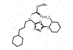 CC(C)(C)OC(=O)C[C@@H](CCCC1CCCCC1)c1nc([C@@H]2CCCCN2C(=O)O)no1